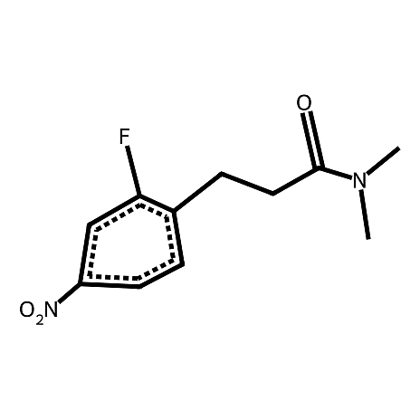 CN(C)C(=O)CCc1ccc([N+](=O)[O-])cc1F